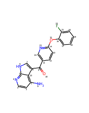 Nc1ccnc2[nH]cc(C(=O)c3ccc(Oc4ccccc4F)nc3)c12